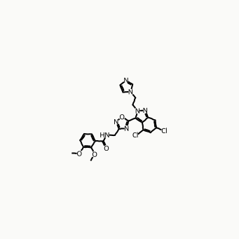 COc1cccc(C(=O)NCc2noc(-c3c4c(Cl)cc(Cl)cc4nn3CCn3ccnc3)n2)c1OC